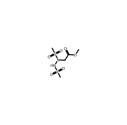 COC(=O)CN(NS(C)(=O)=O)S(C)(=O)=O